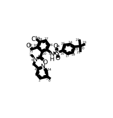 Cc1ccc(CN(C)C(=O)c2c(NS(=O)(=O)c3ccc(C(C)(C)C)cc3)ccc(Cl)c2C=O)nc1